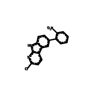 O=[N+]([O-])c1ccccc1-c1ccc2[nH]c3nc(Cl)ccc3c2c1